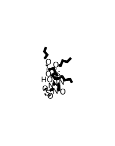 CCCCOC[C@H]1O[C@@](O)(c2cnc3c(OC)nc(S(C)(=O)=O)nn23)[C@](C)(OCCCC)[C@@H]1OCCCC